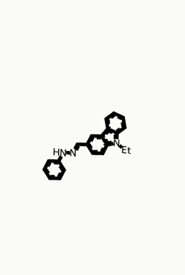 CCn1c2ccccc2c2cc(/C=N/Nc3ccccc3)ccc21